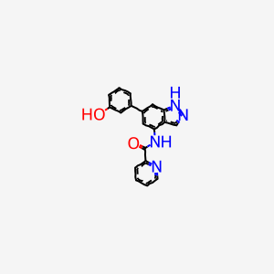 O=C(Nc1cc(-c2cccc(O)c2)cc2[nH]ncc12)c1ccccn1